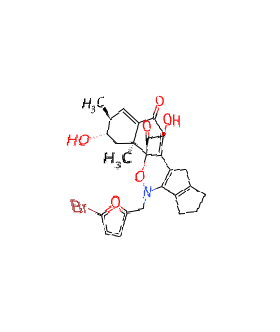 C[C@H]1C=C2C(=O)C=C3C4=C(C5=C(CCC5)C4)N(Cc4ccc(Br)o4)O[C@]3(C(=O)CO)[C@@]2(C)C[C@@H]1O